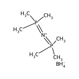 CP(C)(C)=[N+]=P(C)(C)C.[BH4-]